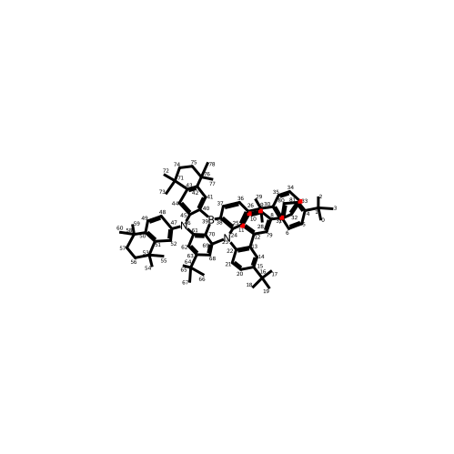 CC(C)(C)c1ccc(-c2cccc(-c3cc(C(C)(C)C)ccc3N3c4cc(C(C)(C)c5ccccc5)ccc4B4c5cc6c(cc5N(c5ccc7c(c5)C(C)(C)CCC7(C)C)c5cc(C(C)(C)C)cc3c54)C(C)(C)CCC6(C)C)c2)cc1